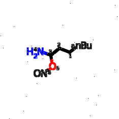 CCCCCCC(N)ON=O